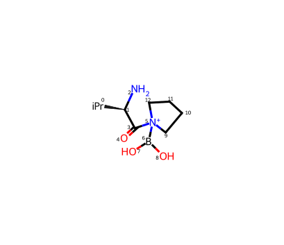 CC(C)[C@@H](N)C(=O)[N+]1(B(O)O)CCCC1